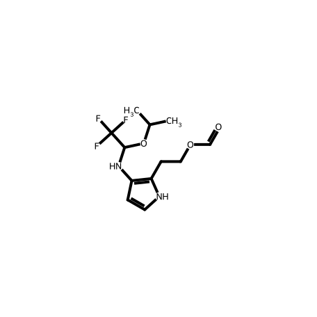 CC(C)OC(Nc1cc[nH]c1CCOC=O)C(F)(F)F